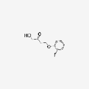 O=C(CO)CCOc1ccccc1F